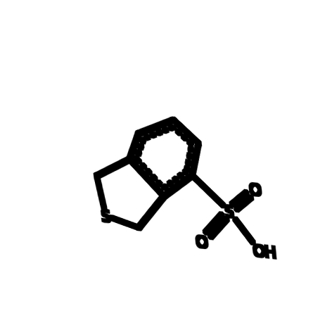 O=S(=O)(O)c1cccc2c1CSC2